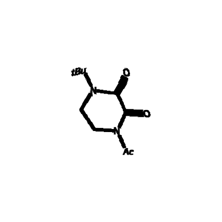 CC(=O)N1CCN(C(C)(C)C)C(=O)C1=O